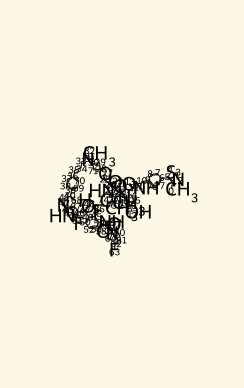 Cc1ncsc1-c1ccc(CNC(=O)[C@@H]2C[C@@H](O)CN2C(=O)[C@@H](NC(=O)CO[C@H]2C[C@H](N(C)CCCc3ccc(-c4cnc5[nH]cc(C(=O)c6c(F)ccc(NS(=O)(=O)N7CC[C@@H](F)C7)c6F)c5c4)cc3)C2)C(C)(C)C)cc1